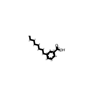 CCCCCCCCc1[c]c(C(=O)O)ccc1